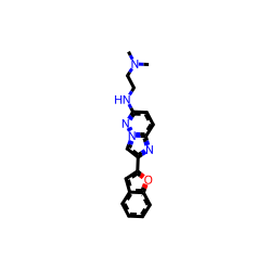 CN(C)CCNc1ccc2nc(-c3cc4ccccc4o3)cn2n1